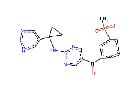 CS(=O)(=O)c1cccc(C(=O)c2cnc(NC3(c4cncnc4)CC3)nc2)c1